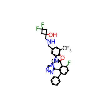 Cn1cnnc1-c1c(-c2ccccc2)ccc(F)c1-c1nc2cc(CNCC3(O)CC(F)(F)C3)cc(C(F)(F)F)c2o1